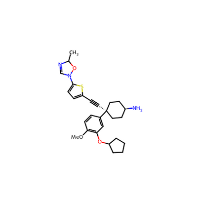 COc1ccc([C@]2(C#Cc3ccc(N4C=NC(C)O4)s3)CC[C@H](N)CC2)cc1OC1CCCC1